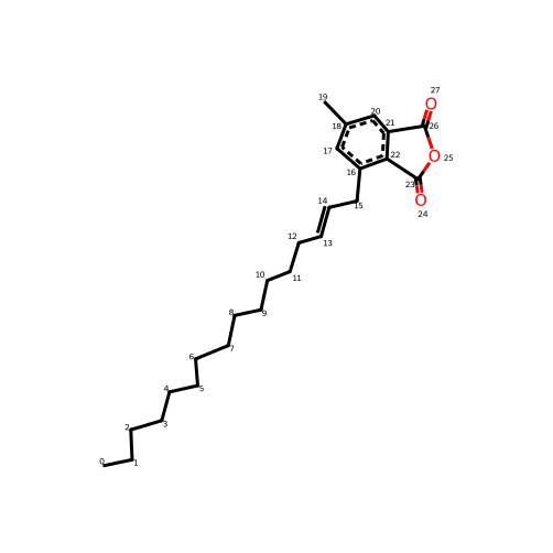 CCCCCCCCCCCCC/C=C/Cc1cc(C)cc2c1C(=O)OC2=O